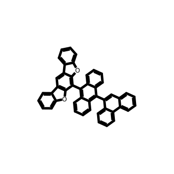 c1ccc2c(c1)cc(-c1c3ccccc3c(-c3c4oc5ccccc5c4cc4c3oc3ccccc34)c3ccccc13)c1ccccc12